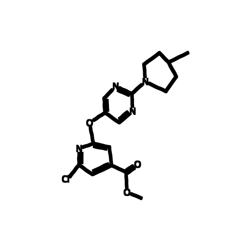 COC(=O)c1cc(Cl)nc(Oc2cnc(N3CCC(C)CC3)nc2)c1